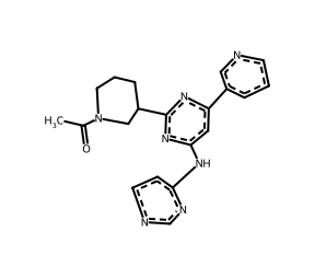 CC(=O)N1CCCC(c2nc(Nc3ccncn3)cc(-c3cccnc3)n2)C1